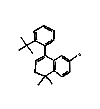 CC(C)(C)c1ccccc1C1=CCC(C)(C)c2ccc(Br)cc21